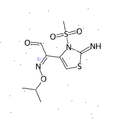 CC(C)O/N=C(/[C]=O)c1csc(=N)n1S(C)(=O)=O